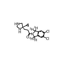 [2H]C1([2H])c2cc(Cl)c(Cl)cc2C([2H])([2H])N1C(=O)CC[C@]1(C2CC2)CNCN1